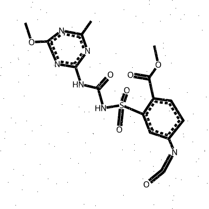 COC(=O)c1ccc(N=C=O)cc1S(=O)(=O)NC(=O)Nc1nc(C)nc(OC)n1